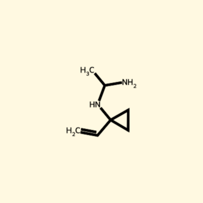 C=CC1(NC(C)N)CC1